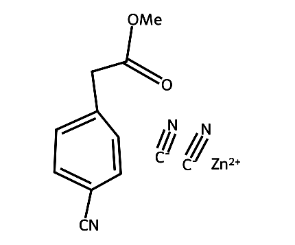 COC(=O)Cc1ccc(C#N)cc1.[C-]#N.[C-]#N.[Zn+2]